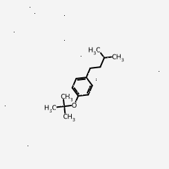 CC(C)CCc1ccc(OC(C)(C)C)cc1